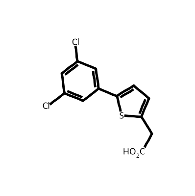 O=C(O)Cc1ccc(-c2cc(Cl)cc(Cl)c2)s1